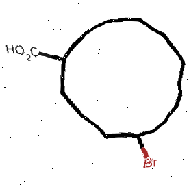 O=C(O)C1CCCCCCCC(Br)CCC1